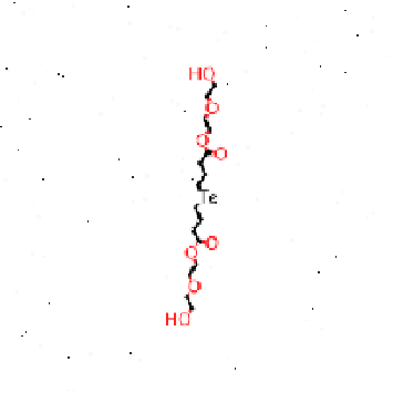 O=C(CCC[Te]CCCC(=O)OCCOCCO)OCCOCCO